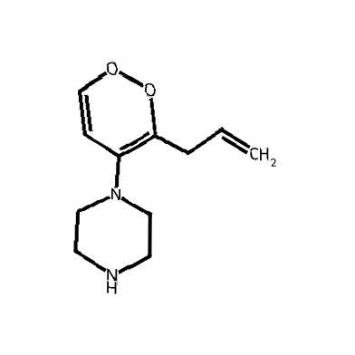 C=CCC1=C(N2CCNCC2)C=COO1